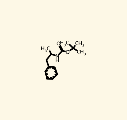 CC(Cc1ccccc1)NC(=O)OC(C)(C)C